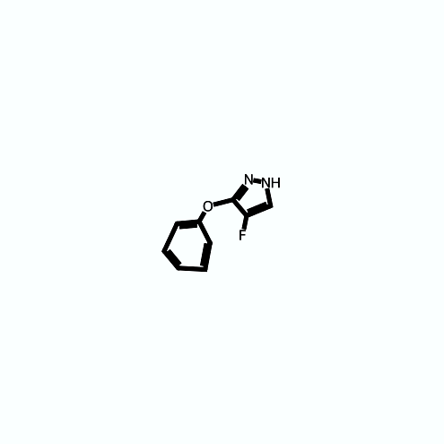 Fc1c[nH]nc1Oc1ccccc1